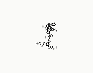 CC(c1nc2ccccc2[nH]1)c1nc2ccc(C(=O)NCCOc3cc(C(=O)O)cc(C(=O)O)c3)cc2n1C